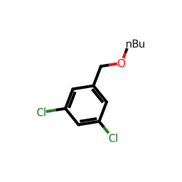 [CH2]CCCOCc1cc(Cl)cc(Cl)c1